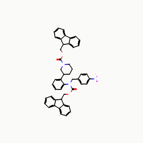 O=C(OCC1c2ccccc2-c2ccccc21)N1CCCC(c2ccccc2N(Cc2ccc([N+](=O)[O-])cc2)C(=O)OCC2c3ccccc3-c3ccccc32)C1